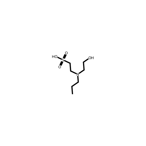 CCCN(CCO)CCS(=O)(=O)O